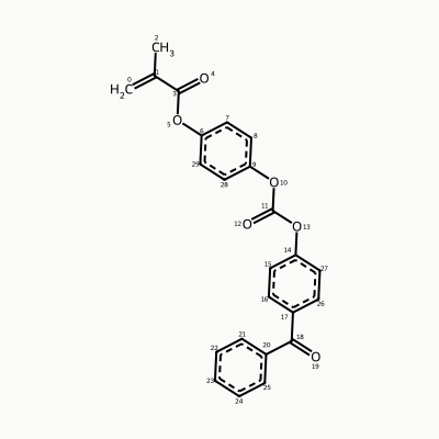 C=C(C)C(=O)Oc1ccc(OC(=O)Oc2ccc(C(=O)c3ccccc3)cc2)cc1